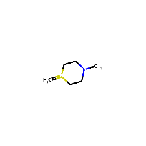 C=S1CCN(C)CC1